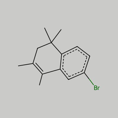 CC1=C(C)c2cc(Br)ccc2C(C)(C)C1